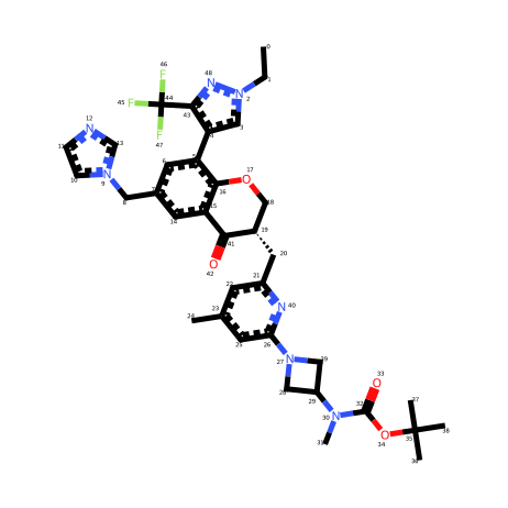 CCn1cc(-c2cc(Cn3ccnc3)cc3c2OC[C@H](Cc2cc(C)cc(N4CC(N(C)C(=O)OC(C)(C)C)C4)n2)C3=O)c(C(F)(F)F)n1